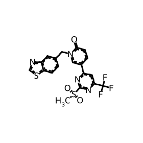 CS(=O)(=O)c1nc(-c2ccc(=O)n(Cc3ccc4scnc4c3)c2)cc(C(F)(F)F)n1